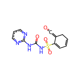 O=C=C1CC=CC=C1S(=O)(=O)NC(=O)Nc1ncccn1